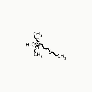 CCCSCCC[Si](C)(OCC)OCC